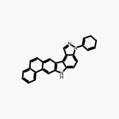 C1=CC(n2ncc3c4c(ccc32)[nH]c2cc3c(ccc5ccccc53)cc24)=CCC1